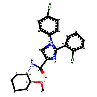 CO[C@H]1CCCC[C@@H]1NC(=O)c1cn(-c2ccc(Cl)cc2)c(-c2ccccc2Cl)n1